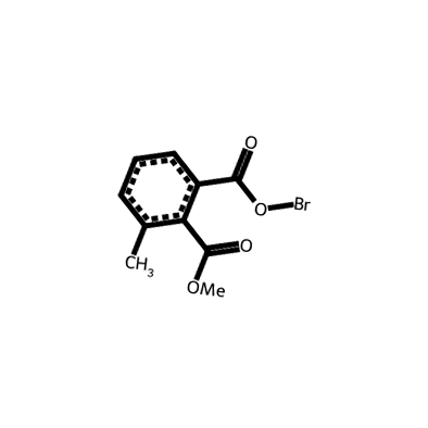 COC(=O)c1c(C)cccc1C(=O)OBr